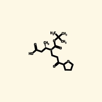 C[C@@H](CC(=O)O)N(CCC(=O)C1CCCO1)C(=O)OC(C)(C)C